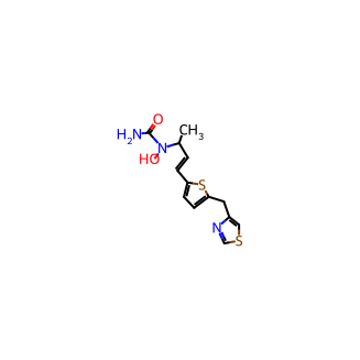 CC(C=Cc1ccc(Cc2cscn2)s1)N(O)C(N)=O